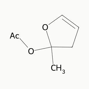 CC(=O)OC1(C)CC=CO1